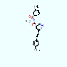 Cc1ccc(C#Cc2cncc(C(=O)N=S(C)(=O)c3cccc(C)c3)c2)cc1